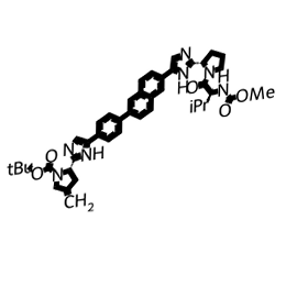 C=C1C[C@@H](c2ncc(-c3ccc(-c4ccc5cc(-c6cnc([C@@H]7CCCN7C(=O)[C@@H](NC(=O)OC)C(C)C)[nH]6)ccc5c4)cc3)[nH]2)N(C(=O)OC(C)(C)C)C1